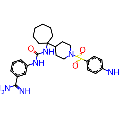 N=C(N)c1cccc(NC(=O)NC2(C3CCN(S(=O)(=O)c4ccc(N)cc4)CC3)CCCCCC2)c1